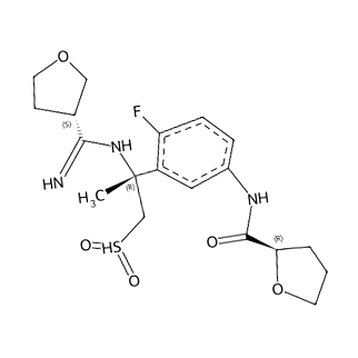 C[C@@](C[SH](=O)=O)(NC(=N)[C@@H]1CCOC1)c1cc(NC(=O)[C@H]2CCCO2)ccc1F